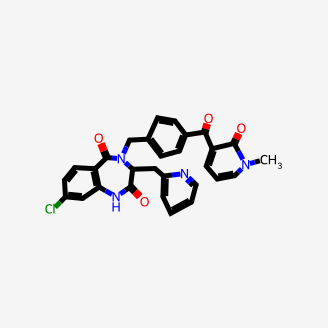 Cn1cccc(C(=O)c2ccc(CN3C(=O)c4ccc(Cl)cc4NC(=O)C3Cc3ccccn3)cc2)c1=O